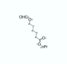 CCCOC(=O)CCCCCOC=O